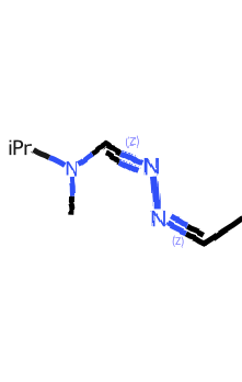 C/C=N\N=C/N(C)C(C)C